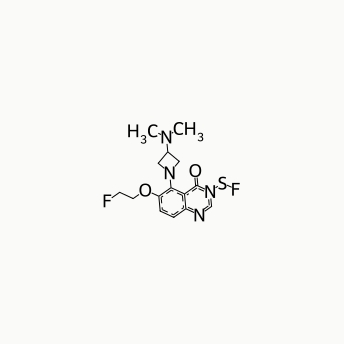 CN(C)C1CN(c2c(OCCF)ccc3ncn(SF)c(=O)c23)C1